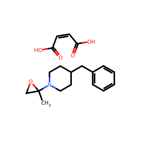 CC1(N2CCC(Cc3ccccc3)CC2)CO1.O=C(O)/C=C\C(=O)O